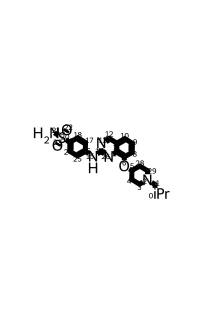 CC(C)CN1CCC(Oc2cccc3cnc(Nc4ccc(S(N)(=O)=O)cc4)nc23)CC1